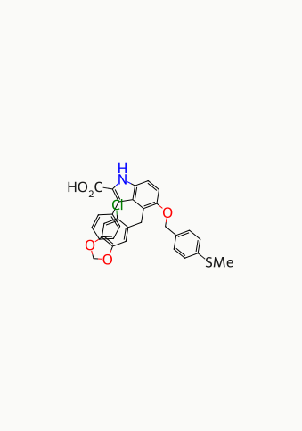 CSc1ccc(COc2ccc3[nH]c(C(=O)O)c(-c4ccccc4)c3c2Cc2cc3c(cc2Cl)OCO3)cc1